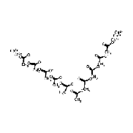 CC(=O)[O-].CC(=O)[O-].CC(=O)[O-].CC(=O)[O-].CC(=O)[O-].CC(=O)[O-].CC(=O)[O-].CC(=O)[O-].CC(=O)[O-].CC(=O)[O-].[Ca+2].[Ca+2].[Ca+2].[Ca+2].[Ca+2]